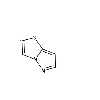 [c]1cc2s[c]cn2n1